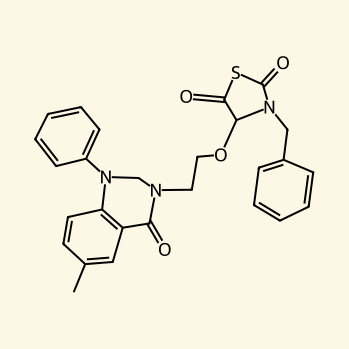 Cc1ccc2c(c1)C(=O)N(CCOC1C(=O)SC(=O)N1Cc1ccccc1)CN2c1ccccc1